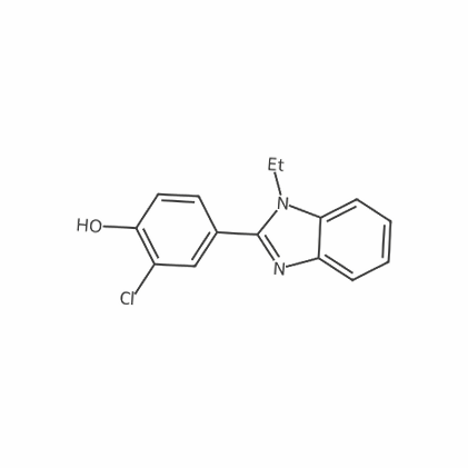 CCn1c(-c2ccc(O)c(Cl)c2)nc2ccccc21